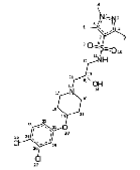 Cc1nn(C)c(C)c1S(=O)(=O)NC[C@H](O)CN1CCC(Oc2ccc(Cl)c(Cl)c2)CC1